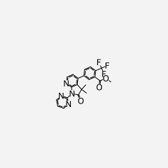 COC(=O)c1cc(-c2ccnc3c2C(C)(C)C(=O)N3c2ncccn2)ccc1C(F)(F)F